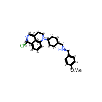 COc1ccc(CNCC2CCC(N3CCc4cnc(Cl)c5cccc3c45)CC2)cc1